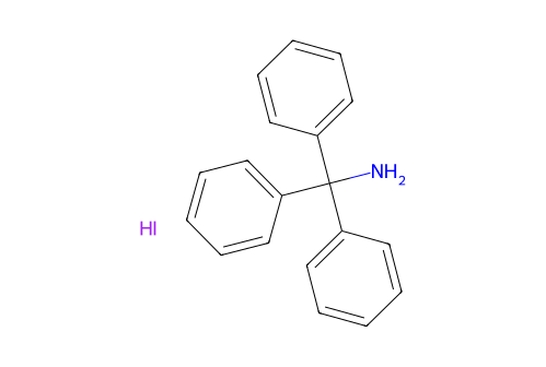 I.NC(c1ccccc1)(c1ccccc1)c1ccccc1